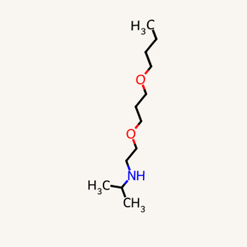 CCCCOCCCOCCNC(C)C